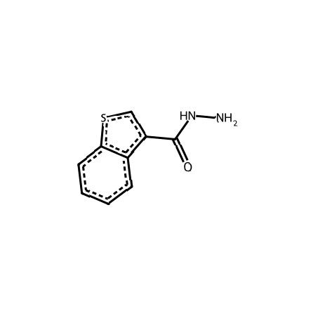 NNC(=O)c1csc2ccccc12